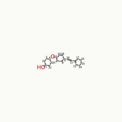 Oc1ccc(Oc2ccc(C#Cc3ccccc3)cc2)cc1